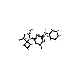 CC1CC(N(C=O)C2(C(C)C)CCC2)=NC(NC2CCCCC2)=N1